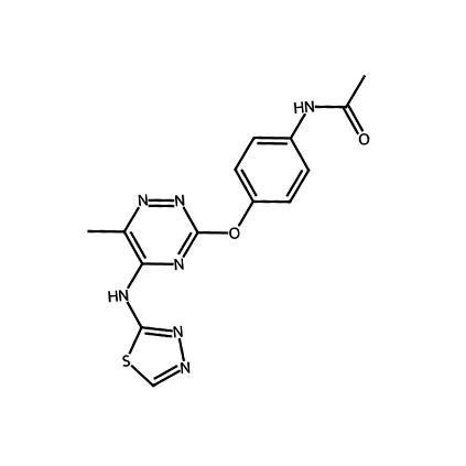 CC(=O)Nc1ccc(Oc2nnc(C)c(Nc3nncs3)n2)cc1